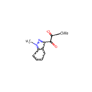 COC(=O)C(=O)c1nn(C)c2ccccc12